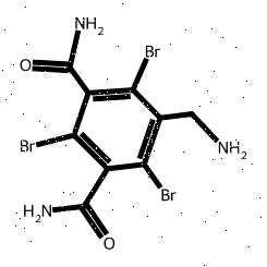 NCc1c(Br)c(C(N)=O)c(Br)c(C(N)=O)c1Br